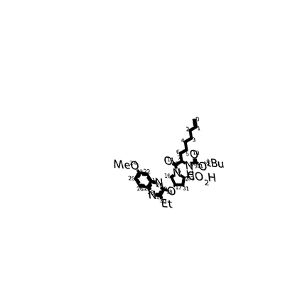 C=CCCCCCC(NC(=O)OC(C)(C)C)C(=O)N1C[C@H](Oc2nc3cc(OC)ccc3nc2CC)C[C@H]1C(=O)O